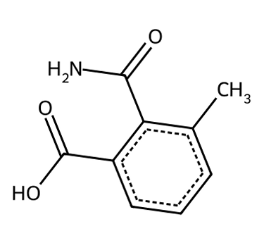 Cc1cccc(C(=O)O)c1C(N)=O